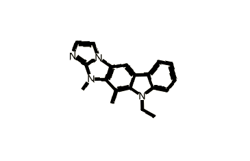 CCn1c2ccccc2c2cc3c(c(C)c21)n(C)c1nccn31